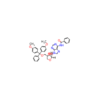 COc1ccc(C(OC[C@@]23CO[C@@H]([C@H](n4cnc5c(NC(=O)c6ccccc6)ncnc54)O2)[C@@H]3O)(c2ccccc2)c2ccc(OC)cc2)cc1